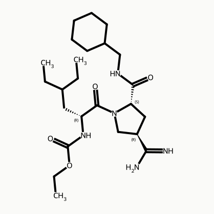 CCOC(=O)N[C@H](CC(CC)CC)C(=O)N1C[C@H](C(=N)N)C[C@H]1C(=O)NCC1CCCCC1